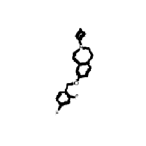 Fc1ccc(COc2ccc3c(c2)CCN(C2=CC=C2)CC3)c(F)c1